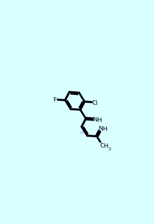 CC(=N)/C=C\C(=N)c1cc(F)ccc1Cl